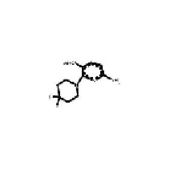 COc1ccc(N)nc1N1CCC(F)(F)CC1